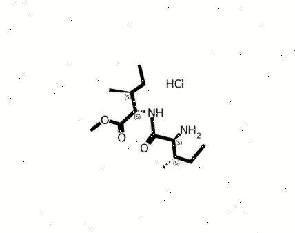 CC[C@H](C)[C@H](N)C(=O)N[C@H](C(=O)OC)[C@@H](C)CC.Cl